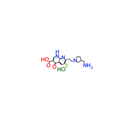 Cl.NCC1CCN(CCc2nc3[nH]cc(C(=O)O)c(=O)c3cc2F)C1